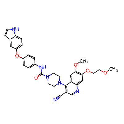 COCCOc1cc2ncc(C#N)c(N3CCN(C(=O)Nc4ccc(Oc5ccc6[nH]ccc6c5)cc4)CC3)c2cc1OC